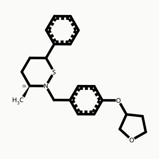 C[C@H]1CCC(c2ccccc2)SN1Cc1ccc(OC2CCOC2)cc1